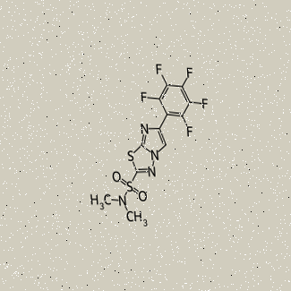 CN(C)S(=O)(=O)c1nn2cc(-c3c(F)c(F)c(F)c(F)c3F)nc2s1